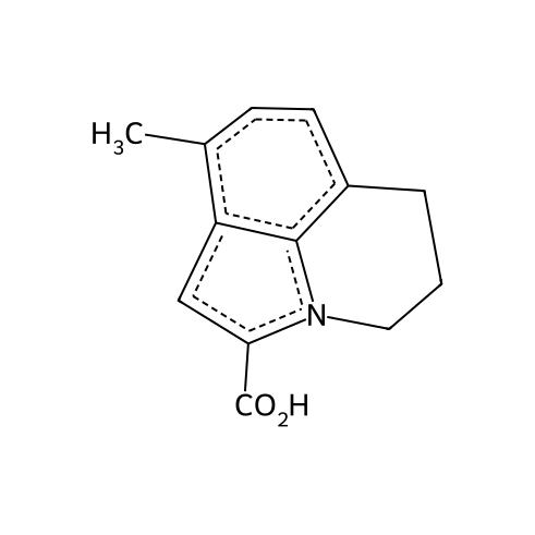 Cc1ccc2c3c1cc(C(=O)O)n3CCC2